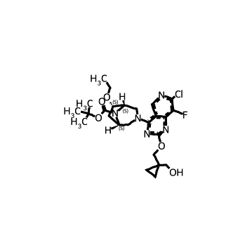 CCO[C@H]1C[C@H]2CN(c3nc(OCC4(CO)CC4)nc4c(F)c(Cl)ncc34)C[C@@H]1N2C(=O)OC(C)(C)C